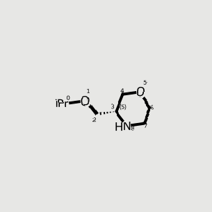 CC(C)OC[C@@H]1COCCN1